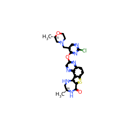 C[C@@H]1CNc2c(sc3ccc4nc(Oc5nc(Cl)ncc5CN5CCO[C@@H](C)C5)cnc4c23)C(=O)N1